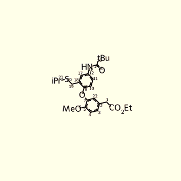 CCOC(=O)Cc1ccc(OC)c(Oc2ccc(NC(=O)C(C)(C)C)cc2CSC(C)C)c1